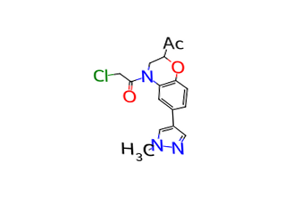 CC(=O)C1CN(C(=O)CCl)c2cc(-c3cnn(C)c3)ccc2O1